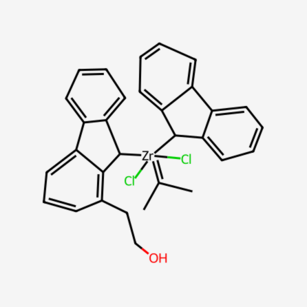 C[C](C)=[Zr]([Cl])([Cl])([CH]1c2ccccc2-c2ccccc21)[CH]1c2ccccc2-c2cccc(CCO)c21